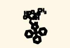 COC(=O)N[C@@H](Cc1cn(C(c2ccccc2)(c2ccccc2)c2ccccc2)cn1)C(=O)O